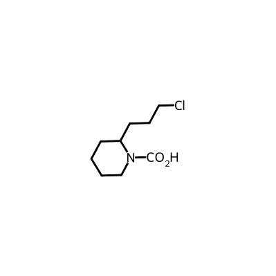 O=C(O)N1CCCCC1CCCCl